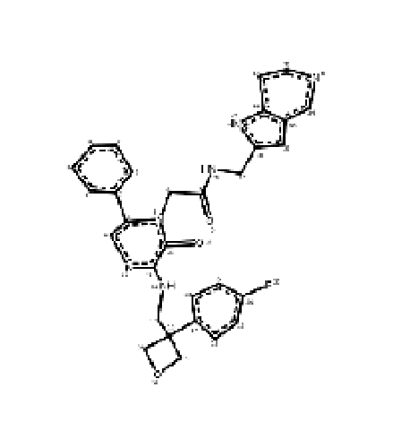 O=C(Cn1c(-c2ccccc2)cnc(NCC2(c3ccc(F)cc3)COC2)c1=O)NCc1cc2cnccc2[nH]1